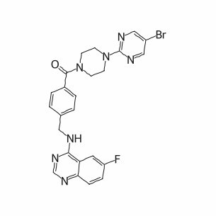 O=C(c1ccc(CNc2ncnc3ccc(F)cc23)cc1)N1CCN(c2ncc(Br)cn2)CC1